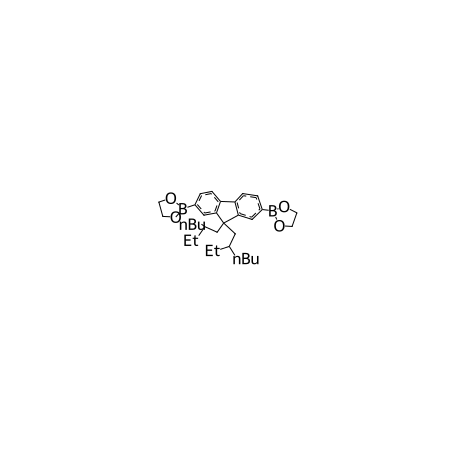 CCCCC(CC)CC1(CC(CC)CCCC)c2cc(B3OCCO3)ccc2-c2ccc(B3OCCO3)cc21